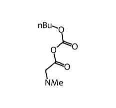 CCCCOC(=O)OC(=O)CNC